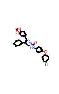 O=C(Nc1ccc(Oc2ccc(Cl)cc2)cc1)N1CC(c2ccc(F)cc2)C(c2ccc3c(c2)OCO3)=N1